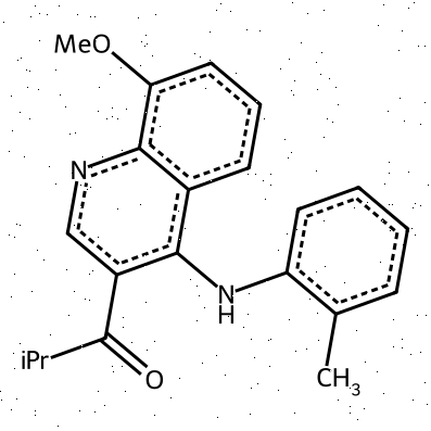 COc1cccc2c(Nc3ccccc3C)c(C(=O)C(C)C)cnc12